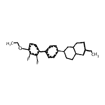 CCOc1ccc(-c2ccc(C3CCC4CC(CC)CCC4C3)cc2)c(F)c1F